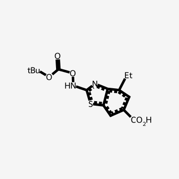 CCc1cc(C(=O)O)cc2sc(NOC(=O)OC(C)(C)C)nc12